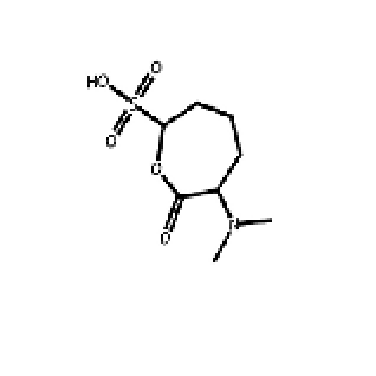 CN(C)C1CCCC(S(=O)(=O)O)OC1=O